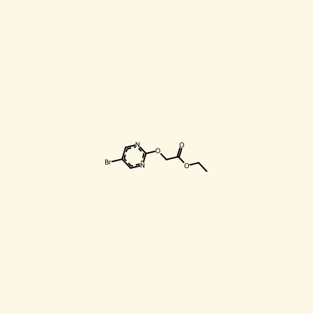 CCOC(=O)COc1ncc(Br)cn1